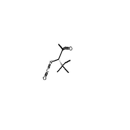 CC(=O)[C@@H](N=C=O)C(C)(C)C